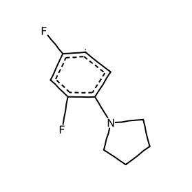 Fc1[c]cc(N2CCCC2)c(F)c1